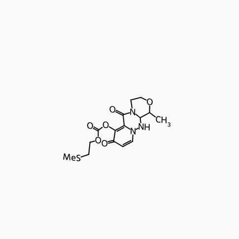 CSCCOC(=O)Oc1c2n(ccc1=O)NC1C(C)OCCN1C2=O